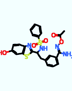 CC(=O)ON=C(N)c1cccc(CC(NS(=O)(=O)c2ccccc2)c2nc3ccc(O)cc3s2)c1